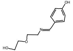 OCCOCC/N=C/c1ccc(O)cc1